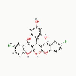 O=c1oc2ccc(Br)cc2c(O)c1C(c1ccc(O)cc1)c1c(O)c2cc(Br)ccc2oc1=O